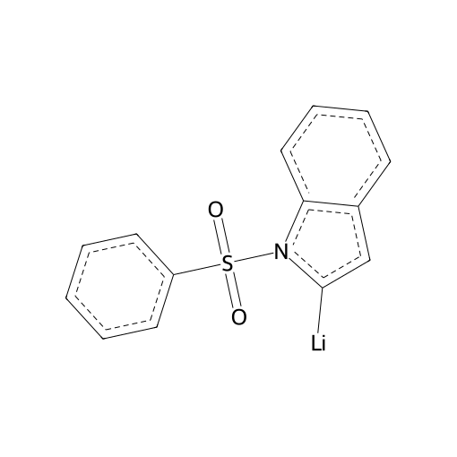 [Li][c]1cc2ccccc2n1S(=O)(=O)c1ccccc1